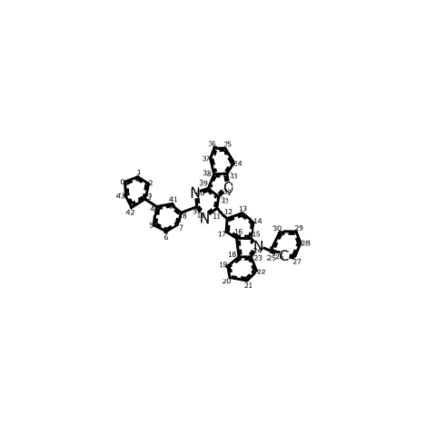 c1ccc(-c2cccc(-c3nc(-c4ccc5c(c4)c4ccccc4n5-c4ccccc4)c4oc5ccccc5c4n3)c2)cc1